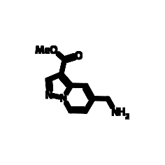 COC(=O)c1cnn2ccc(CN)cc12